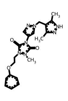 Cc1n[nH]c(C)c1Cn1cc(-n2c(=O)n(C)n(CCOc3ccccc3)c2=O)cn1